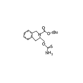 CC(C)(C)OC(=O)N1Cc2ccccc2CC1COC(N)=S